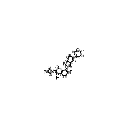 O=C(Nc1ccc(F)c(-n2cc3cc(N4CCCOC4)cnc3n2)c1)N1CC(F)C1